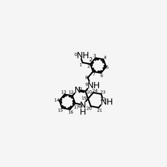 NCc1ccccc1CNC1=Nc2ccccc2NC12CCNCC2